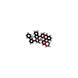 CC1C=C(c2cccc3c2oc2ccccc23)C=CC1N(c1ccccc1-c1cccc2ccccc12)c1ccccc1-c1cccc2cccc(C3CCCCC3)c12